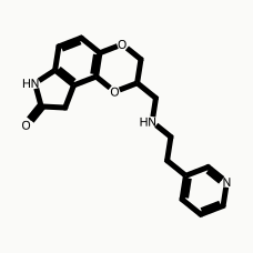 O=C1Cc2c(ccc3c2OC(CNCCc2cccnc2)CO3)N1